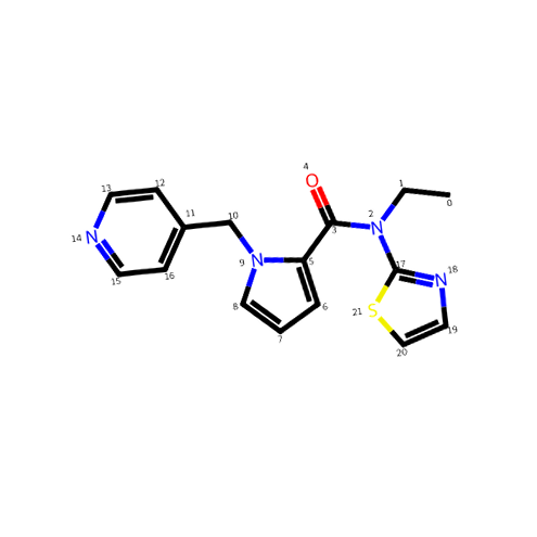 CCN(C(=O)c1cccn1Cc1ccncc1)c1nccs1